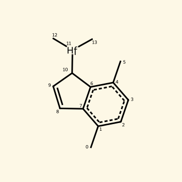 Cc1ccc(C)c2c1C=C[CH]2[Hf]([CH3])[CH3]